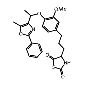 COc1cc(CCCC2NC(=O)SC2=O)ccc1OC(C)c1nc(-c2ccccc2)oc1C